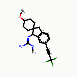 CN/C(N)=N\C1c2cc(C#CC(F)(F)F)ccc2CC12CCC(OC)CC2